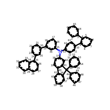 c1ccc(-c2ccccc2-c2ccc(N(c3cccc(-c4cccc(-c5cccc6ccccc56)c4)c3)c3ccc4c(c3)C(c3ccccc3)(c3ccccc3)c3ccccc3-4)cc2)cc1